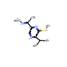 CCCC(CCC)c1ncc(/C(C#N)=N/OC)nc1SCC